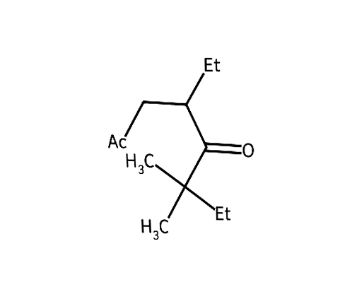 CCC(CC(C)=O)C(=O)C(C)(C)CC